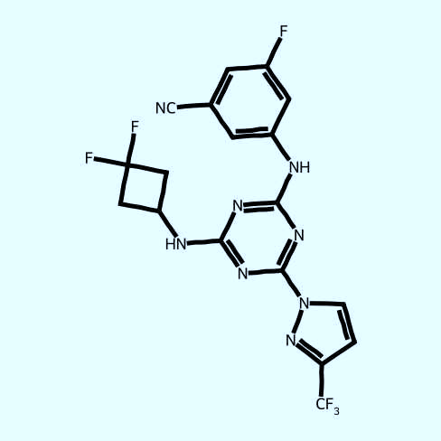 N#Cc1cc(F)cc(Nc2nc(NC3CC(F)(F)C3)nc(-n3ccc(C(F)(F)F)n3)n2)c1